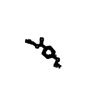 CCCCOC(=O)c1cc[n+](OCCC)cc1